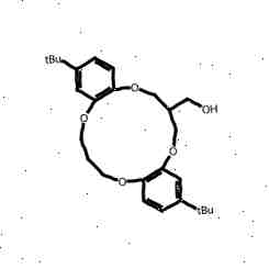 CC(C)(C)c1ccc2c(c1)OCCCOc1ccc(C(C)(C)C)cc1OCC(CO)CO2